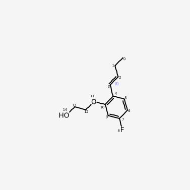 CC/C=C/c1ccc(F)cc1OCCO